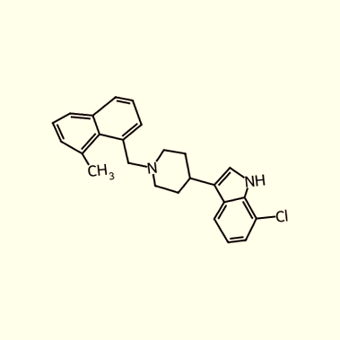 Cc1cccc2cccc(CN3CCC(c4c[nH]c5c(Cl)cccc45)CC3)c12